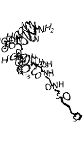 CC(C)(COP(=O)(O)OP(=O)(O)OCC1OC(C)(n2cnc3c(N)ncnc32)C(O)C1OP(=O)(O)O)C(O)C(=O)NCCC(=O)NCCSC(=O)C=CCc1cccs1